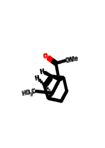 COC(=O)[C@@H]1C2C=CC(CC2)[C@H]1C(=O)O